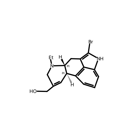 CCN1CC(CO)=C[C@@H]2c3cccc4[nH]c(Br)c(c34)C[C@H]21